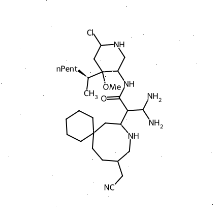 CCCCC[C@H](C)C1(OC)CC(Cl)NCC1NC(=O)C(C(N)N)C1CC2(CCCCC2)CCC(CC#N)CN1